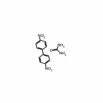 NC(N)=O.O=[N+]([O-])c1ccc(-c2ccc([N+](=O)[O-])cc2)cc1